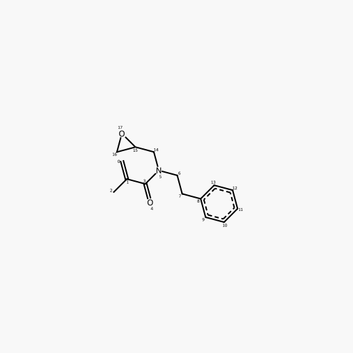 C=C(C)C(=O)N(CCc1ccccc1)CC1CO1